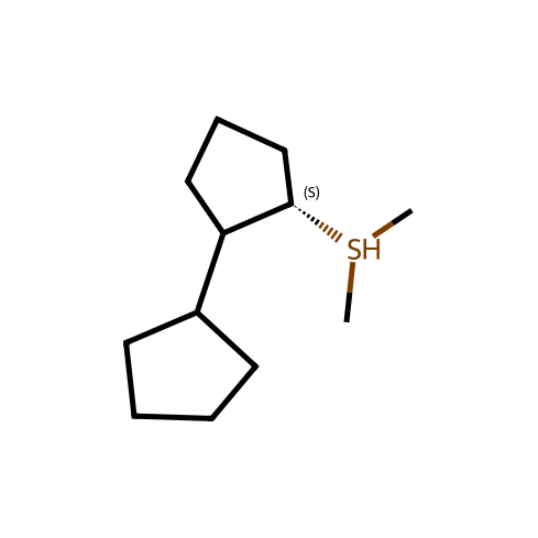 C[SH](C)[C@H]1CCCC1C1CCCC1